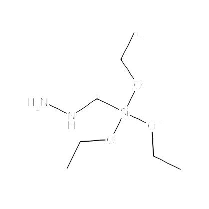 CCO[Si](CNN)(OCC)OCC